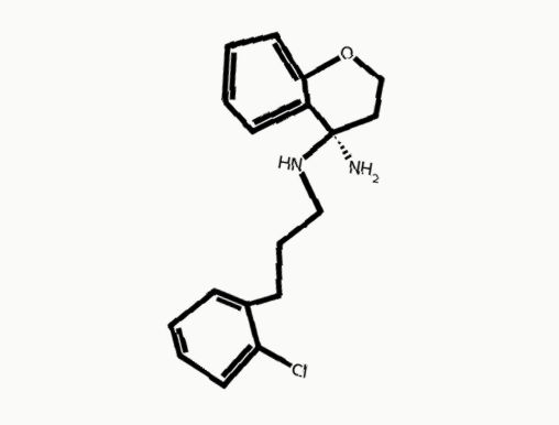 N[C@@]1(NCCCc2ccccc2Cl)CCOc2ccccc21